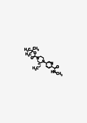 CC[C@@H]1CN(C(=O)OC(C)(C)C)CCN1c1ccc(C(=O)NC)nc1